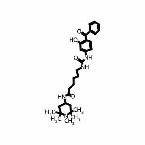 CN1C(C)(C)CC(NC(=O)CCCCCNC(=O)Nc2ccc(C(=O)c3ccccc3)c(O)c2)CC1(C)C